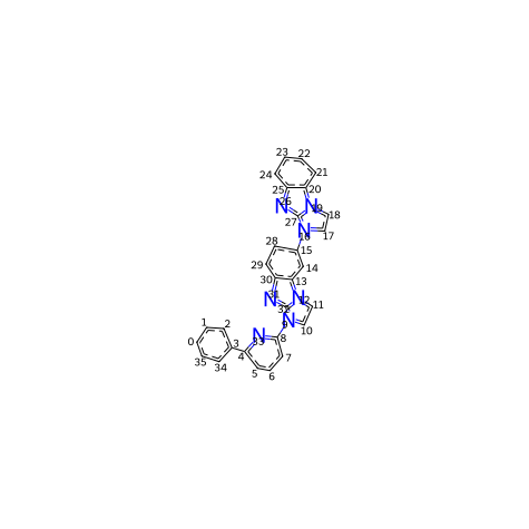 c1ccc(-c2cccc(-n3ccn4c5cc(-n6ccn7c8ccccc8nc67)ccc5nc34)n2)cc1